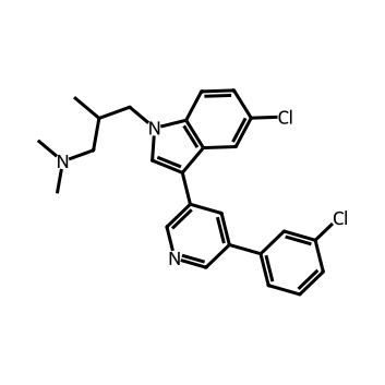 CC(CN(C)C)Cn1cc(-c2cncc(-c3cccc(Cl)c3)c2)c2cc(Cl)ccc21